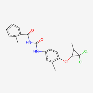 Cc1cc(NC(=O)NC(=O)c2ccccc2C)ccc1OC1C(C)C1(Cl)Cl